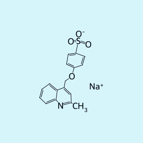 Cc1cc(COc2ccc(S(=O)(=O)[O-])cc2)c2ccccc2n1.[Na+]